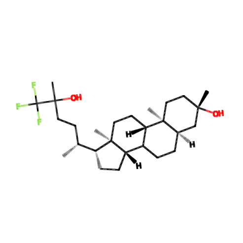 C[C@H](CCC(C)(O)C(F)(F)F)[C@H]1CC[C@H]2C3CC[C@@H]4C[C@@](C)(O)CC[C@]4(C)[C@H]3CC[C@]12C